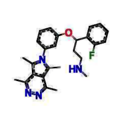 CNCCC(Oc1cccc(-n2c(C)c3c(C)nnc(C)c3c2C)c1)c1ccccc1F